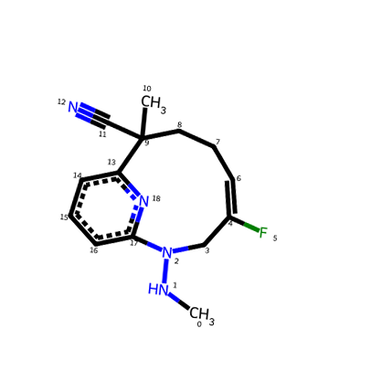 CNN1C/C(F)=C\CCC(C)(C#N)c2cccc1n2